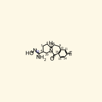 N/C(=N\O)C1CC[C@H]2CCc3cc(F)ccc3C(=O)N2C1